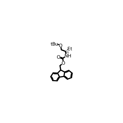 CC[C@@H](COC(C)(C)C)NC(=O)OCC1c2ccccc2-c2ccccc21